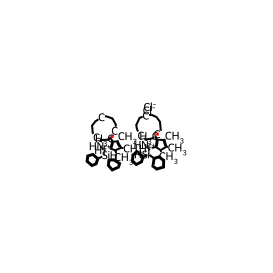 CC1=C(C)C(C)[C]([Hf+]([NH]C2CCCCCCCCCCC2)[SiH](c2ccccc2)c2ccccc2)=C1C.CC1=C(C)C(C)[C]([Hf+]([NH]C2CCCCCCCCCCC2)[SiH](c2ccccc2)c2ccccc2)=C1C.[Cl-].[Cl-]